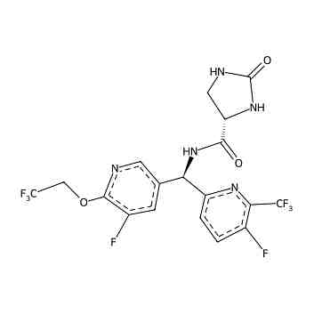 O=C1NC[C@@H](C(=O)N[C@H](c2cnc(OCC(F)(F)F)c(F)c2)c2ccc(F)c(C(F)(F)F)n2)N1